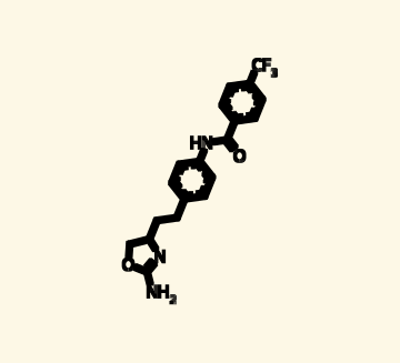 NC1=NC(CCc2ccc(NC(=O)c3ccc(C(F)(F)F)cc3)cc2)CO1